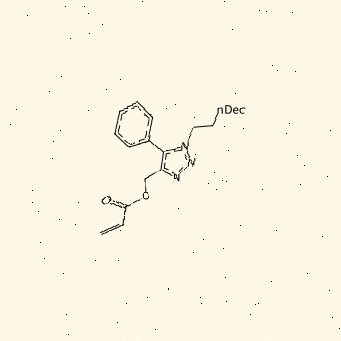 C=CC(=O)OCc1nnn(CCCCCCCCCCCC)c1-c1ccccc1